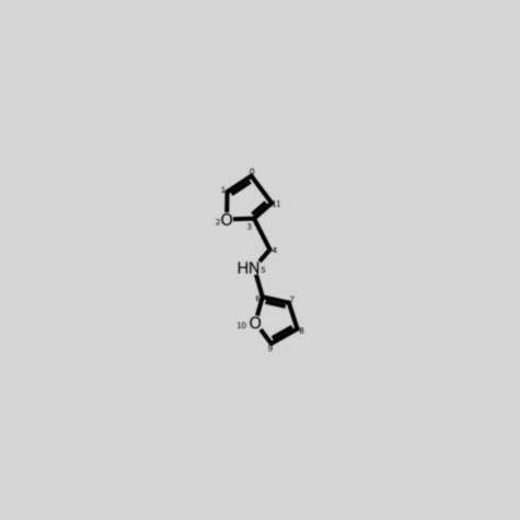 c1coc(CNc2ccco2)c1